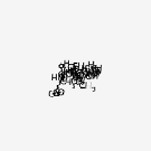 CC[C@H](C)[C@@H](CNC(=O)C(NC(=O)[C@@H]1[C@H]2CC[C@H](C2)N1C)C(C)C)[C@@H](OC)[C@@H](C=O)N1CC[C@H]([C@@H](OC)[C@@H](C)C(=O)N[C@@H](Cc2ccccc2)CS(=O)(=O)NC(=O)CCCCCN2C(=O)C=CC2=O)C1